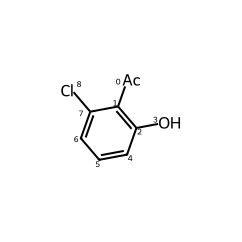 CC(=O)c1c(O)cccc1Cl